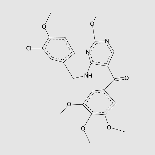 COc1ncc(C(=O)c2cc(OC)c(OC)c(OC)c2)c(NCc2ccc(OC)c(Cl)c2)n1